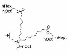 CCCCCCCCC(=O)N(CCCN(C)C)C(CCCCCCCCC(=O)OCC(CCCCCC)CCCCCCCC)CCCCCCCCC(=O)OCC(CCCCCCC)CCCCCCCC